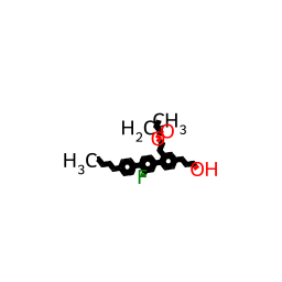 C=C(C)C(=O)OCCc1cc(CCCO)ccc1-c1ccc(-c2ccc(CCCCC)cc2)c(F)c1